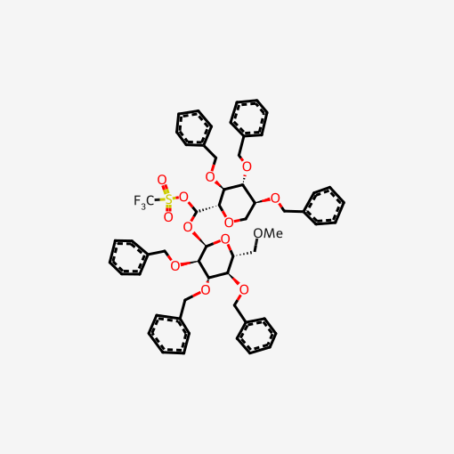 COC[C@H]1O[C@H](OC(OS(=O)(=O)C(F)(F)F)[C@H]2OC[C@H](OCc3ccccc3)[C@@H](OCc3ccccc3)[C@@H]2OCc2ccccc2)[C@H](OCc2ccccc2)[C@@H](OCc2ccccc2)[C@@H]1OCc1ccccc1